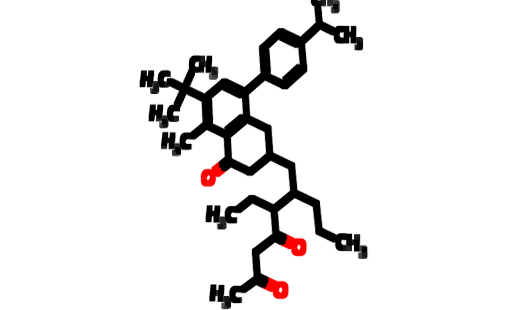 CCCC(CC1CC(=O)c2c(C)c(C(C)(C)C)cc(-c3ccc(C(C)C)cc3)c2C1)C(CC)C(=O)CC(C)=O